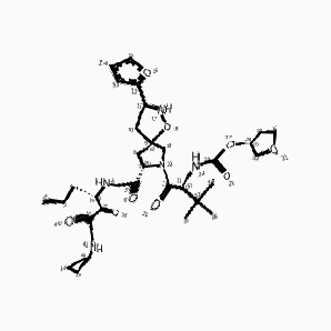 CCC[C@H](NC(=O)[C@@H]1C[C@]2(CC(c3ccco3)NO2)CN1C(=O)[C@@H](NC(=O)O[C@H]1CCOC1)C(C)(C)C)C(=O)C(=O)NC1CC1